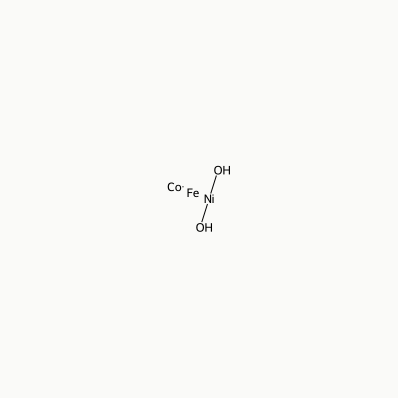 [Co].[Fe].[OH][Ni][OH]